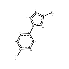 CCc1nnc(-c2ccc(Cl)cc2)o1